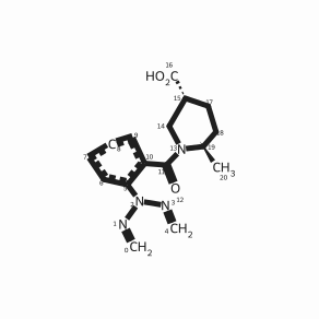 C=NN(N=C)c1ccccc1C(=O)N1C[C@H](C(=O)O)CC[C@H]1C